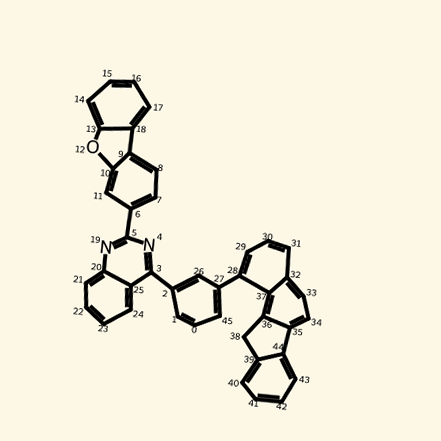 c1cc(-c2nc(-c3ccc4c(c3)oc3ccccc34)nc3ccccc23)cc(-c2cccc3ccc4c(c23)Cc2ccccc2-4)c1